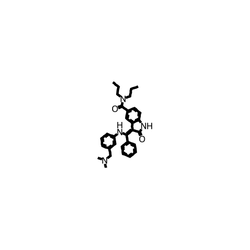 CCCN(CCC)C(=O)c1ccc2c(c1)C(=C(Nc1cccc(CN(C)C)c1)c1ccccc1)C(=O)N2